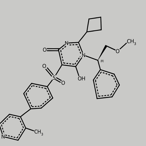 COC[C@@H](c1ccccc1)n1c(C2CCC2)nc(=O)c(S(=O)(=O)c2ccc(-c3ccncc3C)cc2)c1O